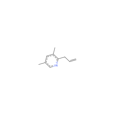 C=CCc1ncc(C)cc1C